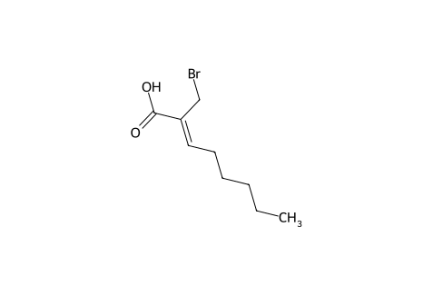 CCCCCC=C(CBr)C(=O)O